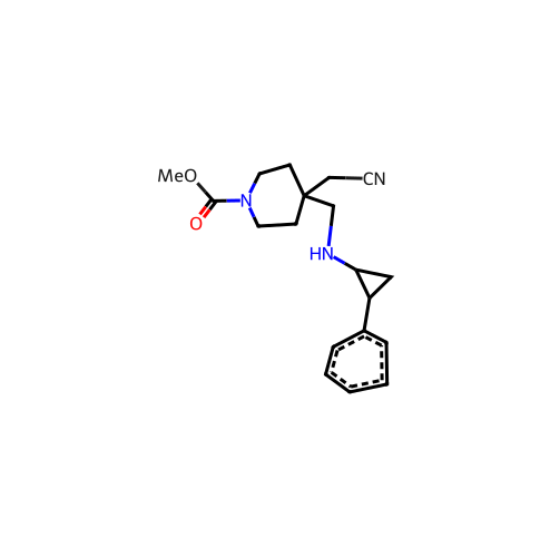 COC(=O)N1CCC(CC#N)(CNC2CC2c2ccccc2)CC1